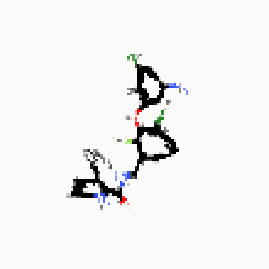 Cc1cc[nH]c1C(=O)NCc1ccc(Cl)c(Oc2cc(N)cc(Cl)c2)c1F